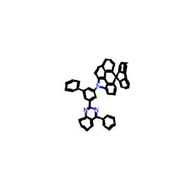 c1ccc(-c2cc(-c3nc(-c4ccccc4)c4ccccc4n3)cc(-n3c4cccc5c4c4c6c(cccc6ccc43)C53c4ccccc4-c4ccccc43)c2)cc1